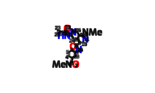 CNC(=O)c1ccc2oc(-c3cnc(NC)c4cnc(NC(=O)C5CC5)cc34)nc2c1